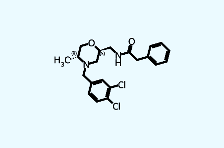 C[C@@H]1CO[C@@H](CNC(=O)Cc2ccccc2)CN1Cc1ccc(Cl)c(Cl)c1